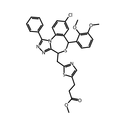 COC(=O)CCc1cnc(CC2SC(c3cccc(OC)c3OC)c3cc(Cl)ccc3-n3c(-c4ccccc4)nnc32)s1